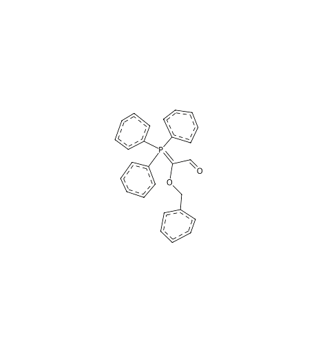 O=CC(OCc1ccccc1)=P(c1ccccc1)(c1ccccc1)c1ccccc1